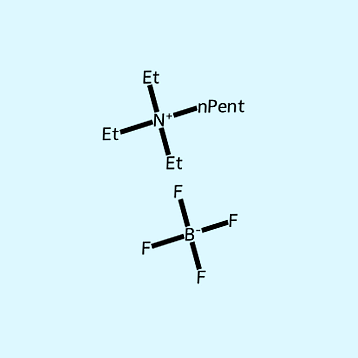 CCCCC[N+](CC)(CC)CC.F[B-](F)(F)F